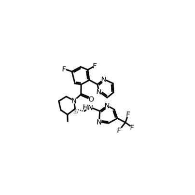 CC1CCCN(C(=O)c2cc(F)cc(F)c2-c2ncccn2)[C@@H]1CNc1ncc(C(F)(F)F)cn1